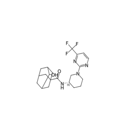 O=C(N[C@H]1CCCN(c2nccc(C(F)(F)F)n2)C1)C12CC3CC(C1)C(O)C(C3)C2